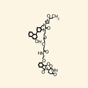 C=CC(=O)N1CC(N2Cc3ccc(-c4cc(O)cc5ccccc45)cc3N(CCOCCOCCC(=O)NCCOc3cccc4c3C(=O)N(C3CCC(=O)NC3=O)C4=O)C2=O)C1